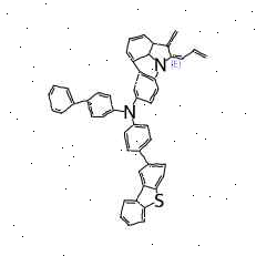 C=C/C=C1\C(=C)C2C=CC=C3c4cc(N(c5ccc(-c6ccccc6)cc5)c5ccc(-c6ccc7sc8ccccc8c7c6)cc5)ccc4N1C32